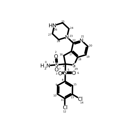 NS(=O)(=O)C1(S(=O)(=O)c2ccc(Cl)c(Cl)c2)Cc2c(ccnc2N2CCNCC2)S1